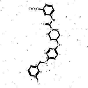 CCOC(=O)c1cccc(NC(=O)N2CCC(Oc3ccc(OCc4cccc(F)c4)cc3)CC2)c1